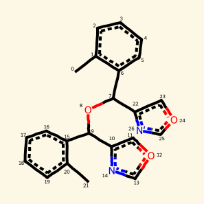 Cc1ccccc1C(OC(c1cocn1)c1ccccc1C)c1cocn1